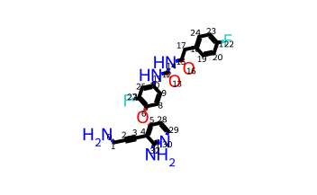 NCC#Cc1c(Oc2ccc(NC(=O)NC(=O)Cc3ccc(F)cc3)cc2F)ccnc1N